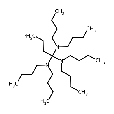 [CH2]CCC(N(CCCC)CCCC)(N(CCCC)CCCC)N(CCCC)CCCC